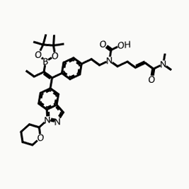 CC/C(B1OC(C)(C)C(C)(C)O1)=C(/c1ccc(CCN(CC/C=C/C(=O)N(C)C)C(=O)O)cc1)c1ccc2c(cnn2C2CCCCO2)c1